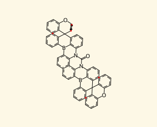 O=C1N2c3cccc4c3B(c3ccccc3C43c4ccccc4Oc4ccccc43)c3ccc4ccc5c(c4c32)N1c1cccc2c1B5c1ccccc1C21c2ccccc2Oc2ccccc21